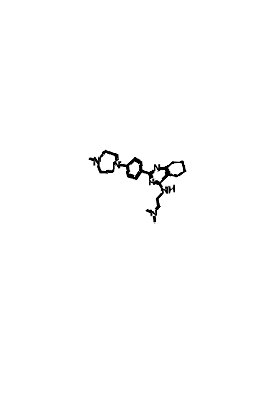 CN(C)CCNc1nc(-c2ccc(N3CCN(C)CC3)cc2)nc2c1CCCC2